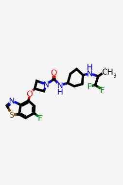 CC(NC1CCC(NC(=O)N2CC(Oc3cc(F)cc4scnc34)C2)CC1)C(F)F